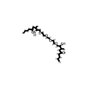 CCCCC(=O)CC(C)C(S)COCCOCCOCCOCC(S)C(C)CC(=O)CCCC